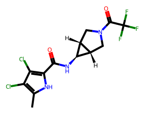 Cc1[nH]c(C(=O)N[C@H]2[C@@H]3CN(C(=O)C(F)(F)F)C[C@@H]32)c(Cl)c1Cl